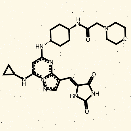 O=C1NC(=O)/C(=C/c2cnn3c(NC4CC4)cc(N[C@H]4CC[C@H](NC(=O)CN5CCOCC5)CC4)nc23)N1